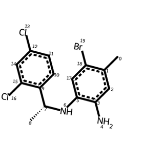 Cc1cc(N)c(N[C@H](C)c2ccc(Cl)cc2Cl)cc1Br